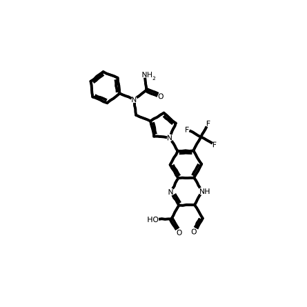 NC(=O)N(Cc1ccn(-c2cc3c(cc2C(F)(F)F)NC(C=O)C(C(=O)O)=N3)c1)c1ccccc1